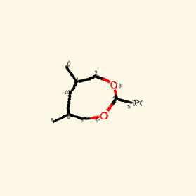 CC1COC(C(C)C)OCC(C)C1